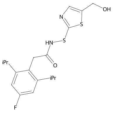 CC(C)c1cc(F)cc(C(C)C)c1CC(=O)NSc1ncc(CO)s1